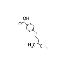 CC(C)CCCc1ccc(C(=O)O)cc1